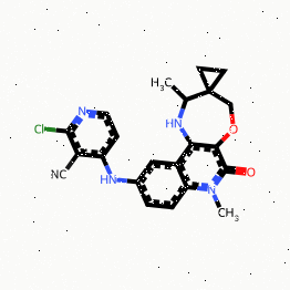 CC1Nc2c(c(=O)n(C)c3ccc(Nc4ccnc(Cl)c4C#N)cc23)OCC12CC2